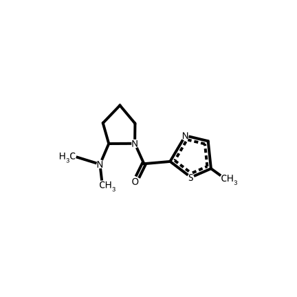 Cc1cnc(C(=O)N2CCCC2N(C)C)s1